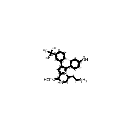 Cl.NCCC1CNC(=O)c2cc(-c3cccc(C(F)(F)F)c3)c(-c3ccc(O)cc3)n21